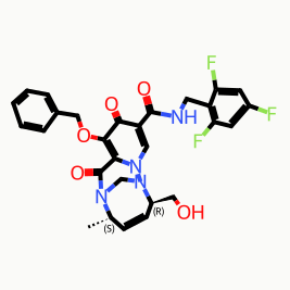 C[C@H]1C=C[C@H](CO)N2CN1C(=O)c1c(OCc3ccccc3)c(=O)c(C(=O)NCc3c(F)cc(F)cc3F)cn12